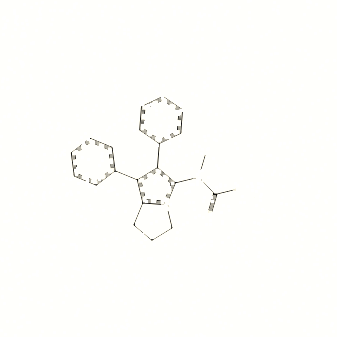 CN(C(=O)C(=O)O)c1c(-c2ccccc2)c(-c2ccccc2)c2n1CCC2